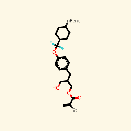 C=C(CC)C(=O)OCC(CO)Cc1ccc(OC(F)(F)C2CCC(CCCCC)CC2)cc1